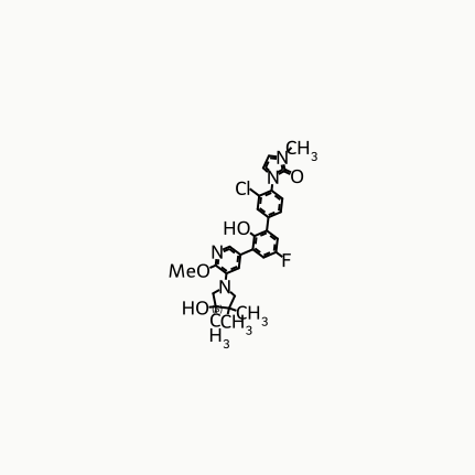 COc1ncc(-c2cc(F)cc(-c3ccc(-n4ccn(C)c4=O)c(Cl)c3)c2O)cc1N1CC(C)(C)[C@](C)(O)C1